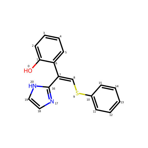 Oc1ccccc1C(=CSc1ccccc1)c1ncc[nH]1